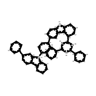 c1ccc(-c2ccc3c4ccccc4n(-c4ccc(-c5ccc6oc7cccc(-c8nc(-c9ccccc9)nc(-c9ccccc9)n8)c7c6c5)cc4)c3c2)cc1